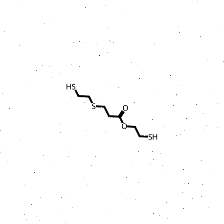 O=C(CCSCCS)OCCS